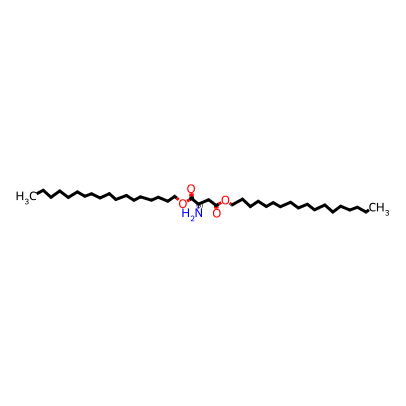 CCCCCCCCCCCCCCCCCCOC(=O)C[C@H](N)C(=O)OCCCCCCCCCCCCCCCCCC